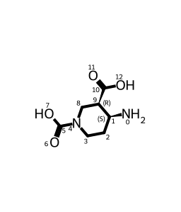 N[C@H]1CCN(C(=O)O)C[C@H]1C(=O)O